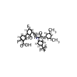 Cc1cc(C)cc(N2C(=O)/C(=N\Nc3cc(F)cc(-c4ccc(F)c(C(=O)O)c4)c3O)c3ccc(C(F)(F)F)cc32)c1